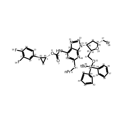 CCCSc1nc(NC(=O)O[C@@H]2C[C@H]2c2ccc(F)c(F)c2)c2nnn([C@@H]3C[C@H](CBr)O[C@H]3CO[Si](c3ccccc3)(c3ccccc3)C(C)(C)C)c2n1